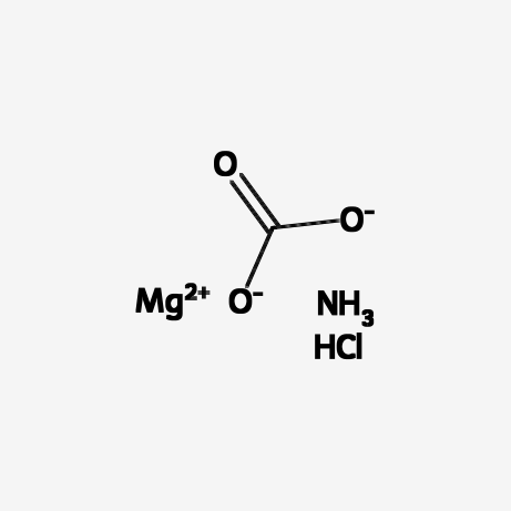 Cl.N.O=C([O-])[O-].[Mg+2]